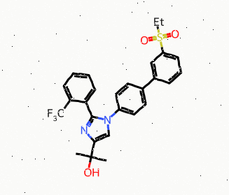 CCS(=O)(=O)c1cccc(-c2ccc(-n3cc(C(C)(C)O)nc3-c3ccccc3C(F)(F)F)cc2)c1